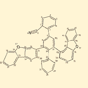 N#Cc1ccccc1-c1cc(-c2ccc3c(c2)oc2ccccc23)c(-c2ccccc2)c(-c2cccc3oc4ccccc4c23)c1